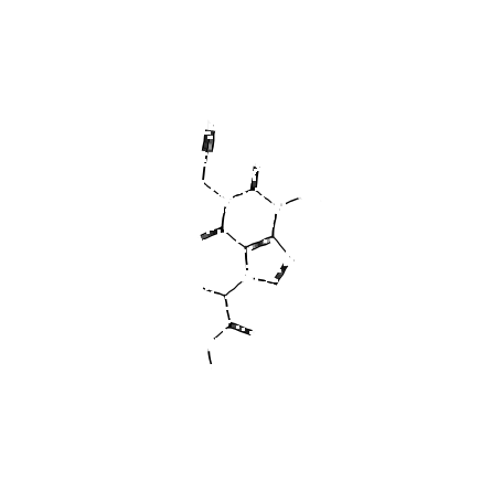 COC(=O)C(C)n1cnc2c1c(=O)n(CC#N)c(=O)n2C